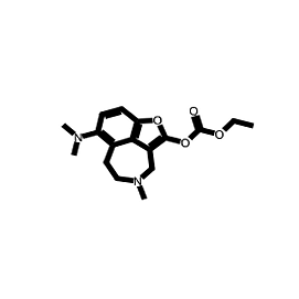 CCOC(=O)Oc1oc2ccc(N(C)C)c3c2c1CN(C)CC3